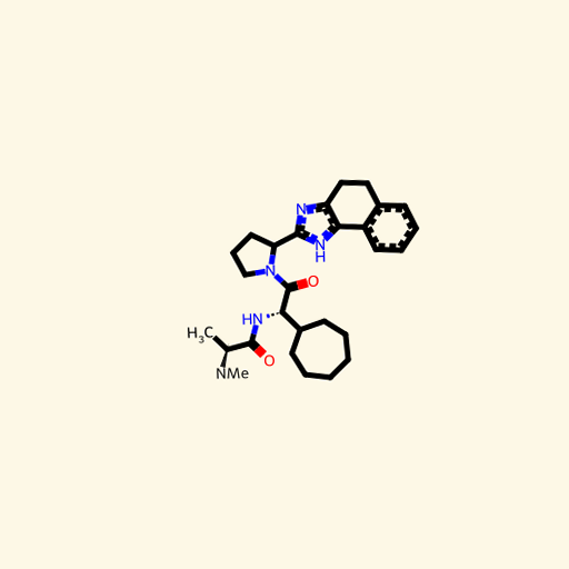 CN[C@@H](C)C(=O)N[C@H](C(=O)N1CCCC1c1nc2c([nH]1)-c1ccccc1CC2)C1CCCCCC1